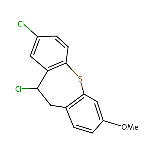 COc1ccc2c(c1)Sc1ccc(Cl)cc1C(Cl)C2